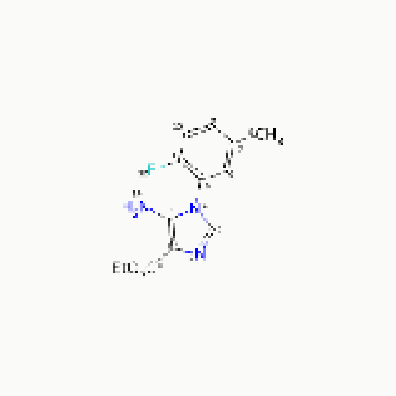 CCOC(=O)c1ncn(-c2cc(C)ccc2F)c1N